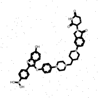 O=C1CCC(N2Cc3cc(N4CCC(CN5CCN(c6ccc(Oc7c(-c8ccc(B(O)O)cc8)sc8cc(O)ccc78)cc6)CC5)CC4)ccc3C2=O)C(=O)N1